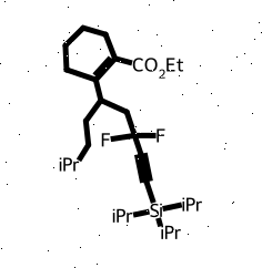 CCOC(=O)C1=C(C(CCC(C)C)CC(F)(F)C#C[Si](C(C)C)(C(C)C)C(C)C)CCCC1